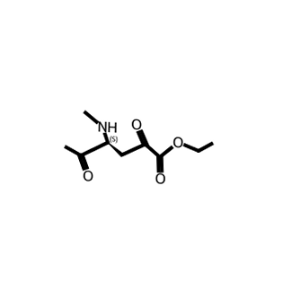 CCOC(=O)C(=O)C[C@H](NC)C(C)=O